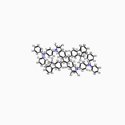 Cc1c(C)n(-c2ccc(N(c3ccccc3)c3ccccc3)cc2)c2cc3c(-c4ccc5c(c4)C(C)(C)c4ccccc4-5)c4cc5c(C)c(C)n(-c6ccc(N(c7ccccc7)c7ccccc7)cc6)c5cc4c(-c4ccc5c(c4)C(C)(C)c4ccccc4-5)c3cc12